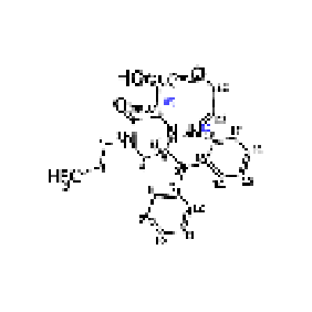 CCCN1C[C@H](C(c2ccccc2)c2ccccc2)N2/N=C\COC/C(O)=C\2C1=O